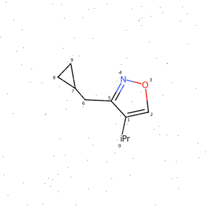 CC(C)c1conc1CC1CC1